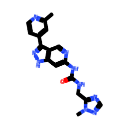 Cc1cc(-c2n[nH]c3cc(NC(=O)NCc4ncnn4C)ncc23)ccn1